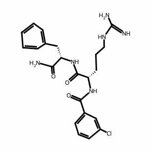 N=C(N)NCCC[C@H](NC(=O)c1cccc(Cl)c1)C(=O)N[C@@H](Cc1ccccc1)C(N)=O